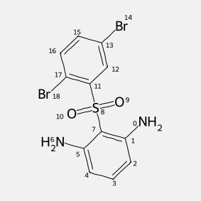 Nc1cccc(N)c1S(=O)(=O)c1cc(Br)ccc1Br